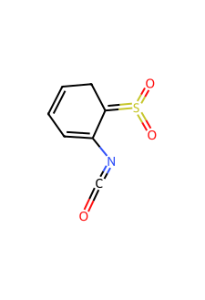 O=C=NC1=CC=CCC1=S(=O)=O